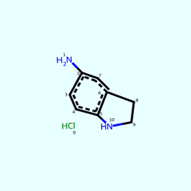 Cl.Nc1ccc2c(c1)CCN2